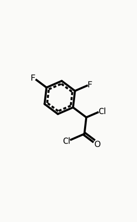 O=C(Cl)C(Cl)c1ccc(F)cc1F